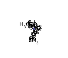 COC(=O)c1ccc2c(c1)CCN2/C=C(/C(=O)C(=O)OC(C)(C)C)c1ccccc1